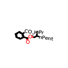 CCCCCC(CCC)COC(=O)c1ccccc1C(=O)O